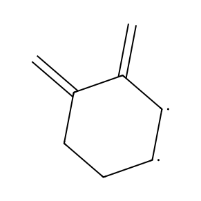 C=C1[CH][CH]CCC1=C